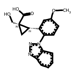 COc1ccc(-n2nnc3ccccc32)c([C@@H]2C[C@@]2(CO)C(=O)O)c1